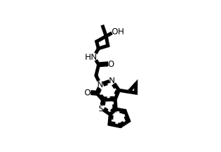 CC1(O)CC(NC(=O)Cn2nc(C3CC3)c3c(sc4ccccc43)c2=O)C1